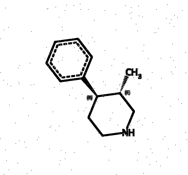 C[C@@H]1CNCC[C@H]1c1ccccc1